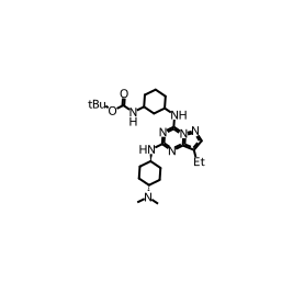 CCc1cnn2c(NC3CCCC(NC(=O)OC(C)(C)C)C3)nc(N[C@H]3CC[C@H](N(C)C)CC3)nc12